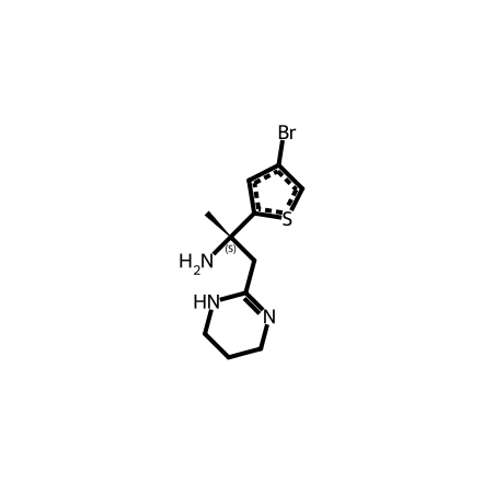 C[C@](N)(CC1=NCCCN1)c1cc(Br)cs1